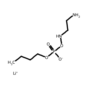 CCCCOP(=O)([O-])ONCCN.[Li+]